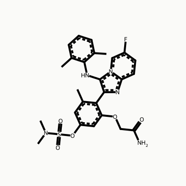 Cc1cccc(C)c1Nc1c(-c2c(C)cc(OS(=O)(=O)N(C)C)cc2OCC(N)=O)nc2ccc(F)cn12